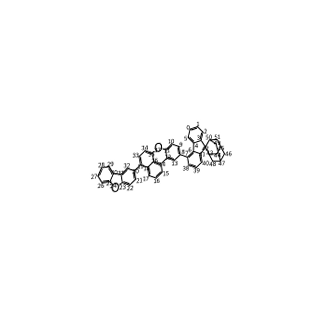 c1ccc2c(c1)-c1c(-c3ccc4c(c3)-c3cccc5c(-c6ccc7oc8ccccc8c7c6)ccc(c35)O4)cccc1C21C2CC3CC(C2)CC1C3